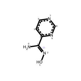 N/C(=N\O)c1ccncn1